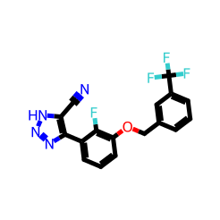 N#Cc1[nH]nnc1-c1cccc(OCc2cccc(C(F)(F)F)c2)c1F